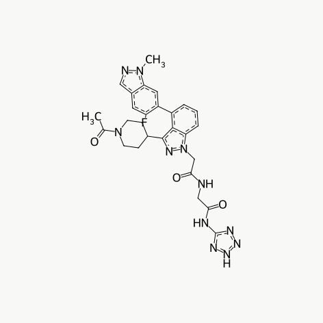 CC(=O)N1CCC(c2nn(CC(=O)NCC(=O)Nc3nn[nH]n3)c3cccc(-c4cc5c(cnn5C)cc4F)c23)CC1